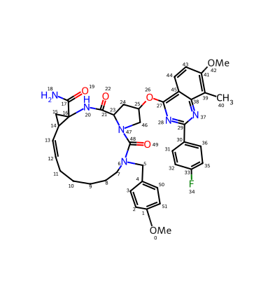 COc1ccc(CN2CCCCCC=CC3CC3(C(N)=O)NC(=O)C3CC(Oc4nc(-c5ccc(F)cc5)nc5c(C)c(OC)ccc45)CN3C2=O)cc1